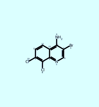 Nc1c(Br)cnc2c(Cl)c(Cl)ccc12